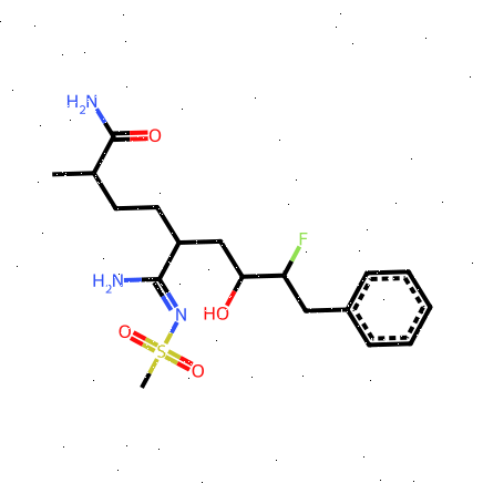 CC(CCC(CC(O)[C](F)Cc1ccccc1)C(N)=NS(C)(=O)=O)C(N)=O